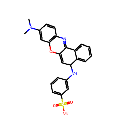 CN(C)c1ccc2c(c1)OC1=CC(Nc3cccc(S(=O)(=O)O)c3)c3ccccc3C1=N2